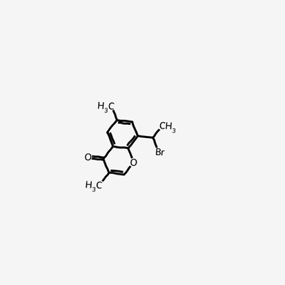 Cc1cc(C(C)Br)c2occ(C)c(=O)c2c1